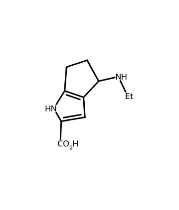 CCNC1CCc2[nH]c(C(=O)O)cc21